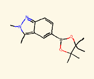 Cc1c2cc(B3OC(C)(C)C(C)(C)O3)ccc2nn1C